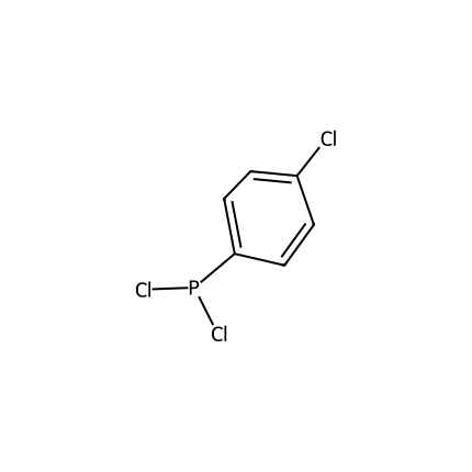 Clc1ccc(P(Cl)Cl)cc1